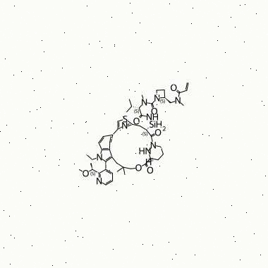 C=CC(=O)N(C)C[C@@H]1CCN1C(=O)N(C)[C@H](C(=O)N[SiH2][C@H]1Cc2nc(cs2)-c2ccc3c(c2)c(c(-c2cccnc2[C@H](C)OC)n3CC)CC(C)(C)COC(=O)[C@@H]2CCCN(N2)C1=O)C(C)C